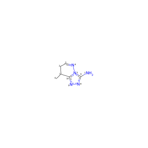 CC1C[C]=Nn2c(N)nnc21